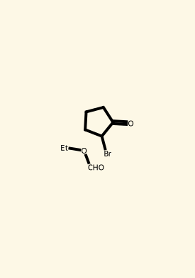 CCOC=O.O=C1CCCC1Br